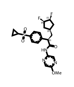 COc1cnc(NC(=O)[C@H](C[C@H]2C[C@@H](F)[C@@H](F)C2)c2ccc(S(=O)(=O)C3CC3)cc2)cn1